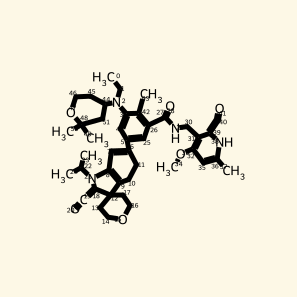 CCN(c1cc(C2=CC3=C(CC2)C2(CCOCC2)C(=C=O)N3C(C)C)cc(C(=O)NCC2=C(OC)C=C(C)NC2=C=O)c1C)C1CCOC(C)(C)C1